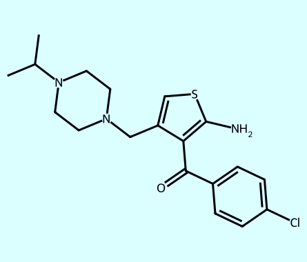 CC(C)N1CCN(Cc2csc(N)c2C(=O)c2ccc(Cl)cc2)CC1